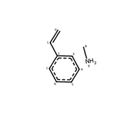 C=Cc1ccccc1.CN